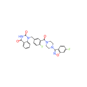 O=C(c1cc(Cn2c(=O)[nH]c(=O)c3ccccc32)ccc1F)N1CCN(c2noc3cc(F)ccc23)CC1